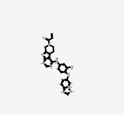 C=CC(=O)N1CCc2c(sc3ncnc(Nc4ccc(Oc5ccc6ncnn6c5)c(Cl)c4)c23)C1